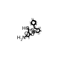 NC1C[C@@H](OB2OC(c3ccccc3)C3CCCN23)C(CO)O1